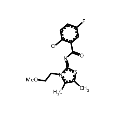 COCCn1c(C)c(C)s/c1=N\C(=O)c1cc(F)ccc1Cl